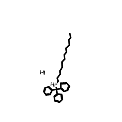 CCCCCCCCCCCCCCPC(c1ccccc1)(c1ccccc1)c1ccccc1.I